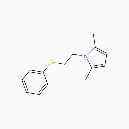 Cc1ccc(C)n1CCSc1ccccc1